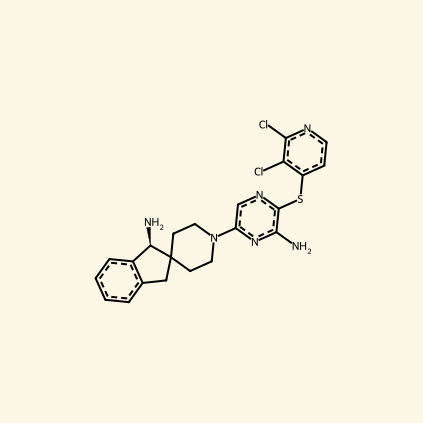 Nc1nc(N2CCC3(CC2)Cc2ccccc2[C@H]3N)cnc1Sc1ccnc(Cl)c1Cl